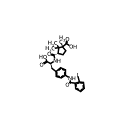 CC1(C)[C@@H](C(=O)N[C@@H](Cc2ccc(NC(=O)c3ccccc3I)cc2)C(=O)O)CC[C@@]1(C)C(=O)O